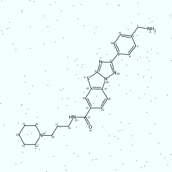 NCc1ccc(-c2nc3sc4cc(C(=O)NCCCN5CCCCC5)ccc4n3n2)cc1